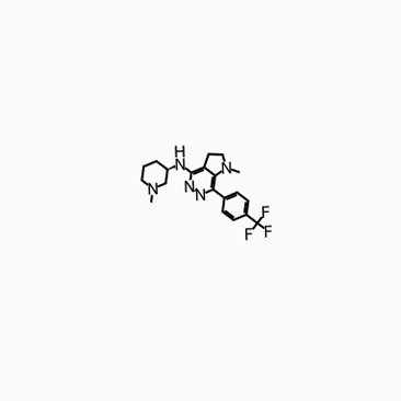 CN1CCC[C@@H](Nc2nnc(-c3ccc(C(F)(F)F)cc3)c3c2CCN3C)C1